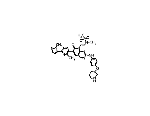 Cc1nc(-c2ccnn2C)ncc1-c1cc2cnc(Nc3ccc(OC4CCCNC4)cc3)nc2n(CCN(C)S(C)(=O)=O)c1=O